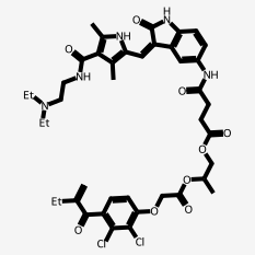 C=C(CC)C(=O)c1ccc(OCC(=O)OC(C)COC(=O)CCC(=O)Nc2ccc3c(c2)/C(=C/c2[nH]c(C)c(C(=O)NCCN(CC)CC)c2C)C(=O)N3)c(Cl)c1Cl